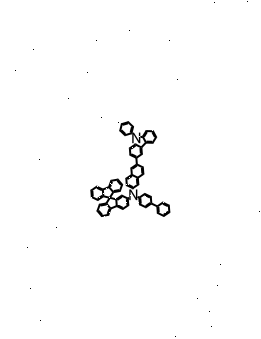 c1ccc(-c2ccc(N(c3ccc4c(c3)C3(c5ccccc5-c5ccccc53)c3ccccc3-4)c3ccc4cc(-c5ccc6c(c5)c5ccccc5n6-c5ccccc5)ccc4c3)cc2)cc1